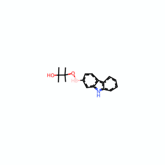 CC(C)(O)C(C)(C)OBc1ccc2c(c1)[nH]c1ccccc12